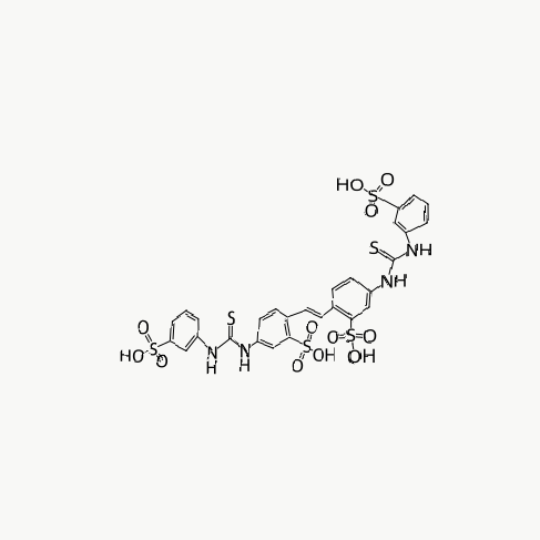 O=S(=O)(O)c1cccc(NC(=S)Nc2ccc(C=Cc3ccc(NC(=S)Nc4cccc(S(=O)(=O)O)c4)cc3S(=O)(=O)O)c(S(=O)(=O)O)c2)c1